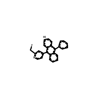 FCc1cc(-c2c3ccccc3c(-c3ccccc3)c3ccccc23)ccn1.I